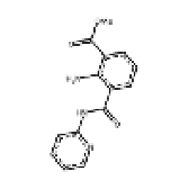 COC(=O)c1cccc(C(=O)Nc2ccccn2)c1N